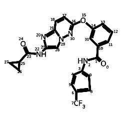 O=C(Nc1ccc(C(F)(F)F)cc1)c1cccc(Oc2ccc3nc(NC(=O)C4CC4)cn3n2)c1